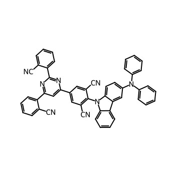 N#Cc1ccccc1-c1cc(-c2cc(C#N)c(-n3c4ccccc4c4cc(N(c5ccccc5)c5ccccc5)ccc43)c(C#N)c2)nc(-c2ccccc2C#N)n1